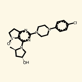 C[C@@H]1C[C@@H](O)CN1c1nc(N2CCN(c3ccc(Cl)cc3)CC2)nc2c1[S+]([O-])CC2